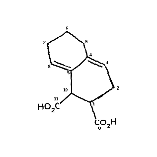 O=C(O)C1CC=C2CCCC=C2C1C(=O)O